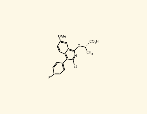 CCc1nc(O[C@@H](C)C(=O)O)c2cc(OC)ccc2c1-c1ccc(F)cc1